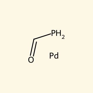 O=CP.[Pd]